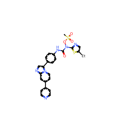 CCc1cnc(N(OS(C)(=O)=O)C(=O)Nc2ccc(-c3cnc4cc(-c5ccncc5)ccn34)cc2)s1